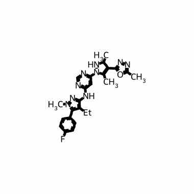 CCc1c(Nc2cc(N3NC(C)C(c4nnc(C)o4)=C3C)ncn2)nn(C)c1-c1ccc(F)cc1